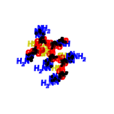 CC[C@H]1O[C@@H](n2cnc3c(N)ncnc32)C[C@H]1OP(=O)(S)OC[C@H]1O[C@@H](n2cnc3c(N)ncnc32)C[C@H]1OP(=O)(S)OC[C@H]1O[C@@H](n2cnc3c(N)ncnc32)C[C@H]1OP(=O)(S)OC[C@H]1O[C@@H](n2cc(C)c(=O)[nH]c2=O)C[C@H]1OP(=O)(S)OC[C@H]1O[C@@H](n2cnc3c(N)ncnc32)C[C@H]1OP(=O)(S)OC[C@H]1O[C@@H](n2cc(C)c(N)nc2=O)C[C@H]1OP(=O)(S)OC